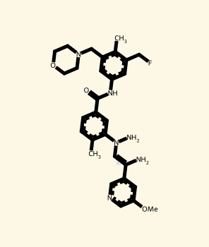 COc1cncc(/C(N)=C/N(N)c2cc(C(=O)Nc3cc(CF)c(C)c(CN4CCOCC4)c3)ccc2C)c1